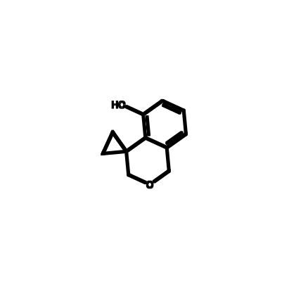 Oc1cccc2c1C1(CC1)COC2